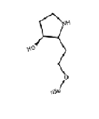 CCCCOCCC1NCC[C@@H]1O